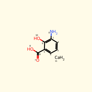 Nc1cccc(C(=O)O)c1O.[CaH2]